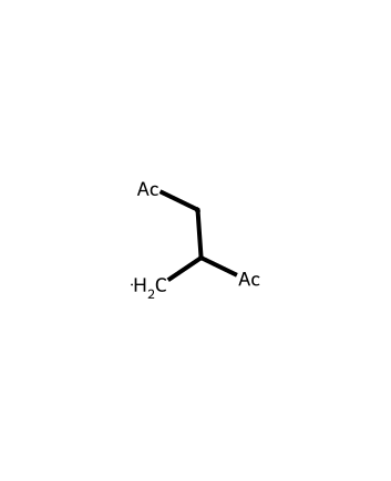 [CH2]C(CC(C)=O)C(C)=O